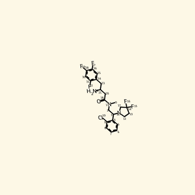 CN(CC(c1ccccc1Cl)N1CCC(F)(F)C1)C(=O)CC(N)Cc1cc(F)c(F)cc1F